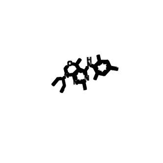 CCC(CC)N1COC(C)c2c(Nc3c(C)cc(C)cc3C)nc(C)nc21